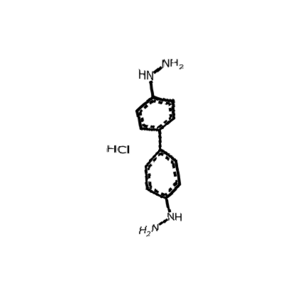 Cl.NNc1ccc(-c2ccc(NN)cc2)cc1